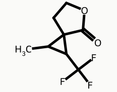 CC1C(C(F)(F)F)C12CCOC2=O